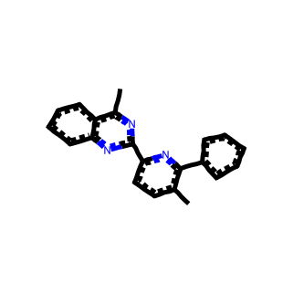 Cc1ccc(-c2nc(C)c3ccccc3n2)nc1-c1ccccc1